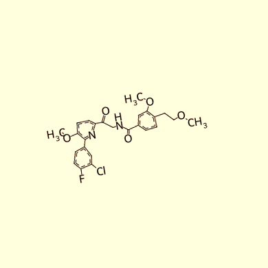 COCCc1ccc(C(=O)NCC(=O)c2ccc(OC)c(-c3ccc(F)c(Cl)c3)n2)cc1OC